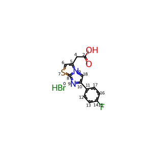 Br.O=C(O)Cc1csc2nc(-c3ccc(F)cc3)cn12